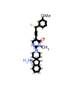 COc1cccc(C(F)C#Cc2cnc(N3CCC4(CC3)Cc3ccccc3[C@H]4N)n(C)c2=O)c1